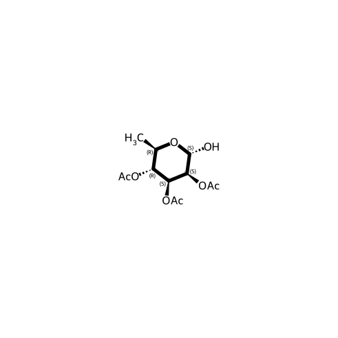 CC(=O)O[C@H]1[C@H](OC(C)=O)[C@@H](C)O[C@H](O)[C@H]1OC(C)=O